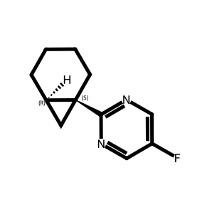 Fc1cnc([C@]23CCCC[C@@H]2C3)nc1